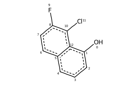 Oc1cccc2ccc(F)c(Cl)c12